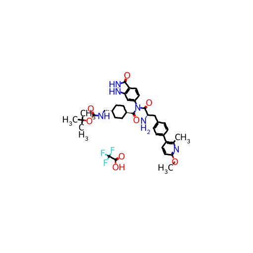 COc1ccc(-c2ccc(C[C@H](N)C(=O)N(c3ccc4c(=O)[nH][nH]c4c3)C(=O)[C@H]3CC[C@H](CNC(=O)OC(C)(C)C)CC3)cc2)c(C)n1.O=C(O)C(F)(F)F